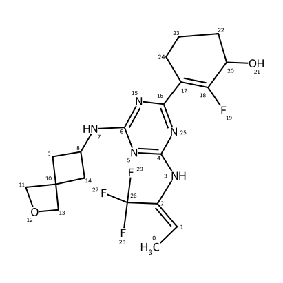 CC=C(Nc1nc(NC2CC3(COC3)C2)nc(C2=C(F)C(O)CCC2)n1)C(F)(F)F